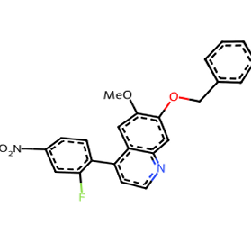 COc1cc2c(-c3ccc([N+](=O)[O-])cc3F)ccnc2cc1OCc1ccccc1